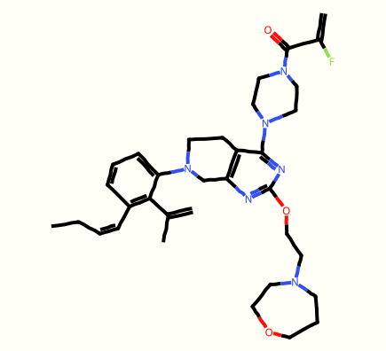 C=C(F)C(=O)N1CCN(c2nc(OCCN3CCCOCC3)nc3c2CCN(c2cccc(/C=C\CC)c2C(=C)C)C3)CC1